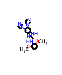 COc1cccc(OC)c1NCc1nc2cc(-n3ccnc3)c(-n3ccnc3)cc2[nH]1